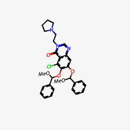 COC(Oc1cc2ncn(CCN3CCCC3)c(=O)c2c(Cl)c1OC(OC)c1ccccc1)c1ccccc1